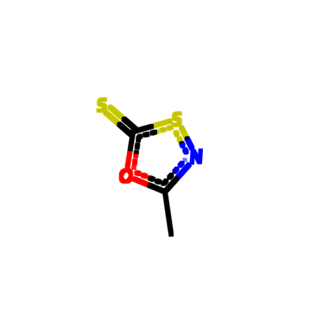 Cc1nsc(=S)o1